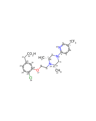 C[C@@H]1CN(c2ccc(C(F)(F)F)cn2)C[C@H](C)N1CCOc1cc(CC(=O)O)ccc1Cl